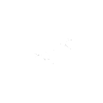 Nc1ccc(OCCCC(=O)O)c(N)c1